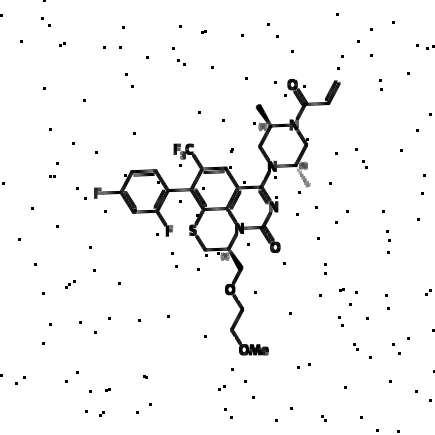 C=CC(=O)N1C[C@H](C)N(c2nc(=O)n3c4c(c(-c5ccc(F)cc5F)c(C(F)(F)F)cc24)SC[C@@H]3COCCOC)C[C@H]1C